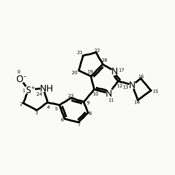 [O-][S+]1CCC(c2cccc(-c3nc(N4CCC4)nc4c3CCC4)c2)N1